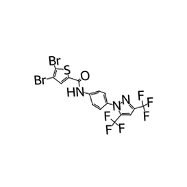 O=C(Nc1ccc(-n2nc(C(F)(F)F)cc2C(F)(F)F)cc1)c1cc(Br)c(Br)s1